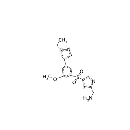 CCn1cc(-c2cc(OC)cc(S(=O)(=O)c3cnc(CN)s3)c2)cn1